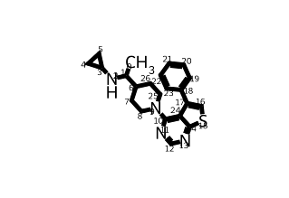 CC(NC1CC1)C1CCN(c2ncnc3scc(-c4ccccc4)c23)CC1